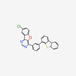 Clc1ccc2oc3c(-c4cccc(-c5cccc6c5SC5C=CC=CC65)c4)ncnc3c2c1